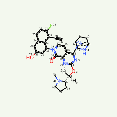 [2H]C([2H])(Oc1nc(N2CC3CCC2CN3)c2ccn(-c3cc(O)cc4ccc(F)c(C#C)c34)c(=O)c2n1)[C@@H]1CCCN1C